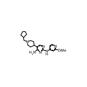 COc1cc(Nc2ncc(C3CCN(CC4CCCC4)CC3)c(N)n2)ccn1